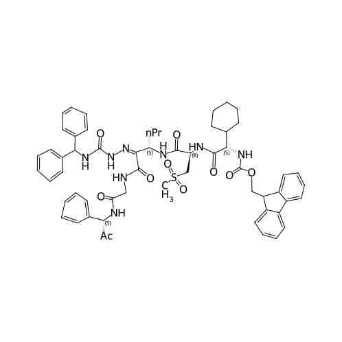 CCC[C@H](NC(=O)[C@H](CS(C)(=O)=O)NC(=O)[C@@H](NC(=O)OCC1c2ccccc2-c2ccccc21)C1CCCCC1)C(=NNC(=O)NC(c1ccccc1)c1ccccc1)C(=O)NCC(=O)N[C@H](C(C)=O)c1ccccc1